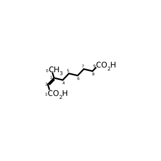 CC(=CC(=O)O)CCCCCC(=O)O